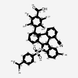 N#Cc1cccc(C#N)c1-c1c(-c2cccc(-c3c(F)c(F)c(C(=O)O)c(F)c3F)c2)n(S(=O)(=O)c2ccc(C(F)F)cc2)c2ccc(F)cc12